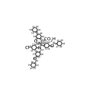 O=C(O)CC(NC(=O)c1cc(Cl)ccc1N(Cc1ccc(OCc2ccccc2)cc1)Cc1ccc(OCc2ccccc2)cc1)c1ccc(-c2ccccc2)cc1